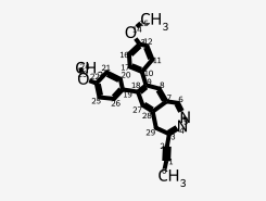 CC#CC1=NN=Cc2cc(-c3ccc(OC)cc3)c(-c3ccc(OC)cc3)cc2C1